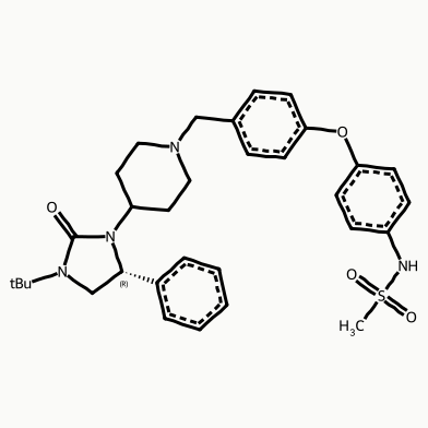 CC(C)(C)N1C[C@@H](c2ccccc2)N(C2CCN(Cc3ccc(Oc4ccc(NS(C)(=O)=O)cc4)cc3)CC2)C1=O